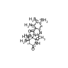 Bc1cc2nc(C)n(C3(B)C(=O)NC(=O)CC3(B)B)c(=O)c2c(N)c1B